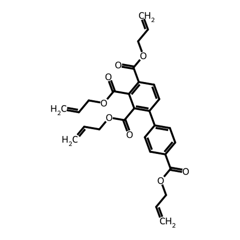 C=CCOC(=O)c1ccc(-c2ccc(C(=O)OCC=C)c(C(=O)OCC=C)c2C(=O)OCC=C)cc1